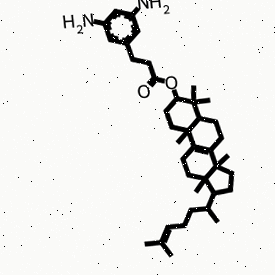 CC(C)=CCCC(C)C1CCC2(C)C3=C(CCC12C)C1(C)CCC(OC(=O)CCc2cc(N)cc(N)c2)C(C)(C)C1CC3